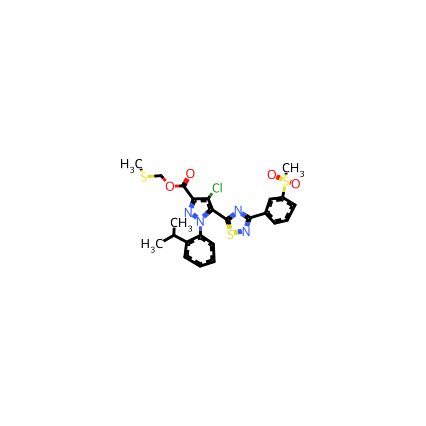 CSCOC(=O)c1nn(-c2ccccc2C(C)C)c(-c2nc(-c3cccc(S(C)(=O)=O)c3)ns2)c1Cl